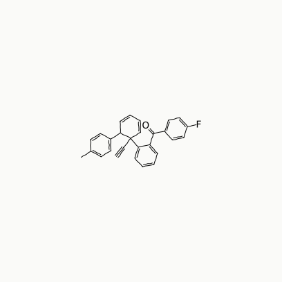 C#CC1(c2ccccc2C(=O)c2ccc(F)cc2)C=CC=CC1c1ccc(C)cc1